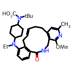 CCN(c1cccc2c1C/C=C/CCc1cc(C)nc(OC)c1CNC2=O)C1CCC(N(C(=O)O)C(C)(C)C)CC1